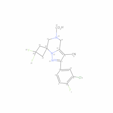 N#Cc1c(-c2ccc(F)c(Cl)c2)nn2c1CN(C(=O)O)CC21CC(F)(F)C1